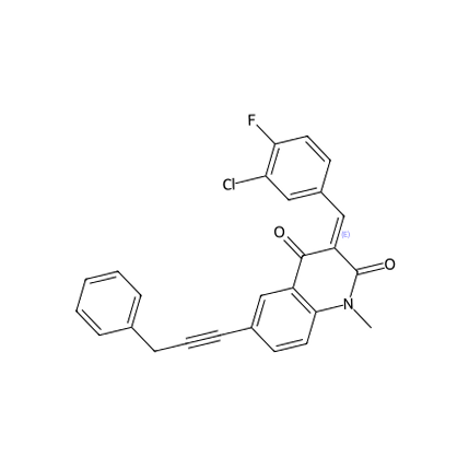 CN1C(=O)/C(=C/c2ccc(F)c(Cl)c2)C(=O)c2cc(C#CCc3ccccc3)ccc21